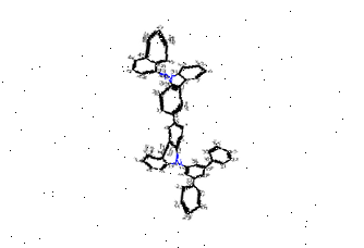 C1=CC2c3cc(-c4ccc5c(c4)c4ccccc4n5-c4cc(-c5ccccc5)cc(-c5ccccc5)c4)ccc3N(c3cccc4ccccc34)C2C=C1